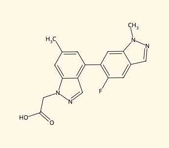 Cc1cc(-c2cc3c(cnn3C)cc2F)c2cnn(CC(=O)O)c2c1